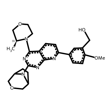 COc1ccc(-c2ccc3c(N4CCOC[C@@H]4C)nc(N4C5CCC4COC5)nc3n2)cc1CO